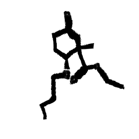 CCCCO[C@@H]1CCC(=O)C[C@]1(C)C(=O)OCC